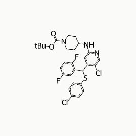 CC(C)(C)OC(=O)N1CCC(Nc2cc(C(Sc3ccc(Cl)cc3)c3cc(F)ccc3F)c(Cl)cn2)CC1